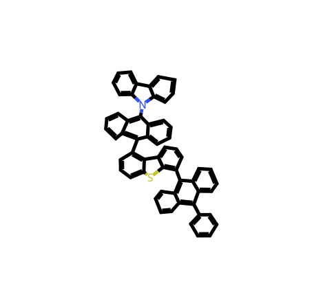 c1ccc(-c2c3ccccc3c(-c3cccc4c3sc3cccc(-c5c6ccccc6c(-n6c7ccccc7c7ccccc76)c6ccccc56)c34)c3ccccc23)cc1